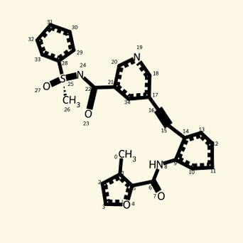 Cc1ccoc1C(=O)Nc1ccccc1C#Cc1cncc(C(=O)N=[S@@](C)(=O)c2ccccc2)c1